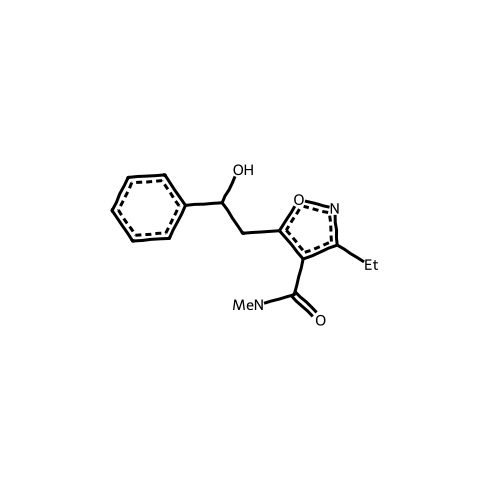 CCc1noc(CC(O)c2ccccc2)c1C(=O)NC